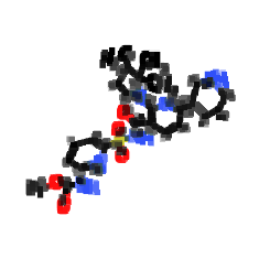 CC(C)OC(=O)Nc1cccc(S(=O)(=O)NC(=O)c2ccc(C3=CCCNC3)nc2N2CCC(C)C2(C)C)n1